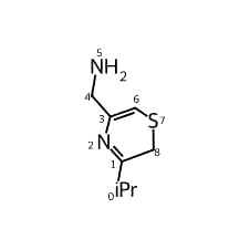 CC(C)C1=NC(CN)=CSC1